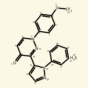 O=c1ccn(-c2ccc(OC(F)(F)F)cc2)nc1-c1ccnn1-c1ccccc1.S